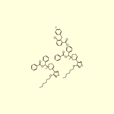 CCCCCCOc1nsnc1C1=CCC[N+](C)(C(OC(=O)c2ccccc2)c2ccccc2)C1.CCCCCCOc1nsnc1C1=CCC[N+](C)(C(OC(=O)c2ccccc2)c2ccccc2)C1.O=C([O-])c1cccc(Cl)c1Cc1ccccc1.[I-]